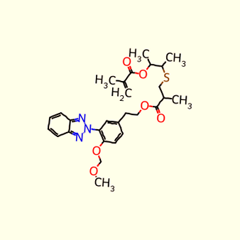 C=C(C)C(=O)OC(C)C(C)SCC(C)C(=O)OCCc1ccc(OCOC)c(-n2nc3ccccc3n2)c1